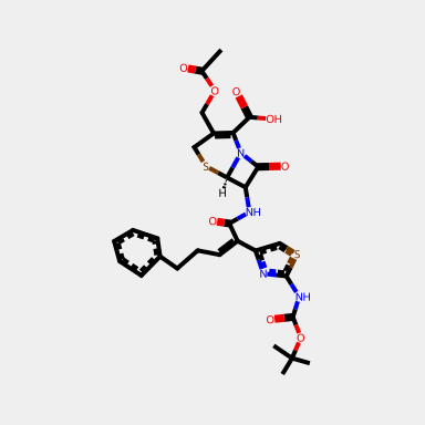 CC(=O)OCC1=C(C(=O)O)N2C(=O)C(NC(=O)/C(=C\CCc3ccccc3)c3csc(NC(=O)OC(C)(C)C)n3)[C@H]2SC1